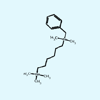 C[N+](C)(C)CCCCCC[N+](C)(C)Cc1ccccc1